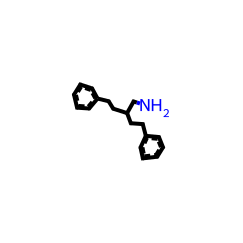 NCC(CCc1ccccc1)CCc1ccccc1